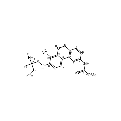 COC(=O)Nc1cc2c(cn1)COc1c-2ccc(OCC(C)(N)CC(C)C)c1C#N